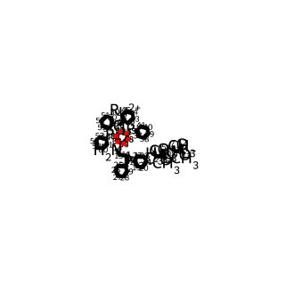 CC(C)(C)C(=O)[O-].CC(C)(C)C(=O)[O-].NCCP(c1ccccc1)c1ccccc1.[Ru+2].c1ccc(P(c2ccccc2)c2ccccc2Oc2ccccc2P(c2ccccc2)c2ccccc2)cc1